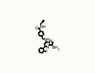 Bc1cnn2c(NCc3ccc(C(=O)NCC#C)cc3)cc(-c3ccccc3F)nc12